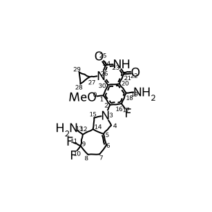 COc1c(N2CC3=CCCC(F)(F)C(N)C3C2)c(F)c(N)c2c(=O)[nH]c(=O)n(C3CC3)c12